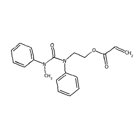 C=CC(=O)OCCN(C(=O)N(C)c1ccccc1)c1ccccc1